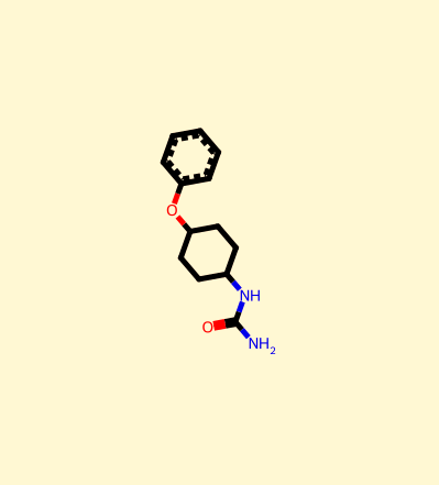 NC(=O)NC1CCC(Oc2ccccc2)CC1